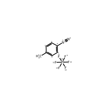 Cc1ccc([N+]#N)cc1.F[P-](F)(F)(F)(F)F